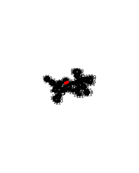 Cc1cc2c3c(c1)N(c1ccc4c(c1)C(C)(C)CCC4(C)C)c1sc4cc5c(cc4c1B3c1cc(-c3ccccc3)ccc1N2c1ccc(-c2ccccc2)cc1)C(C)(C)C(CC(C)(C)c1cc2c3c(c1)N(c1ccc4c(c1)C(C)(C)CCC4(C)C)c1sc4cc6c(cc4c1B3c1ccc(-c3ccccc3)cc1N2c1cc(C(C)(C)C)cc(C(C)(C)C)c1)C(C)(C)CCC6(C)C)CC5(C)C